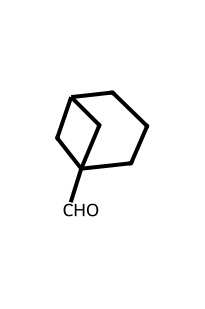 O=CC12CCCC(C1)C2